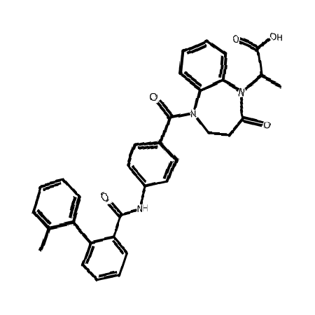 Cc1ccccc1-c1ccccc1C(=O)Nc1ccc(C(=O)N2CCC(=O)N(C(C)C(=O)O)c3ccccc32)cc1